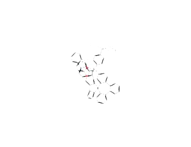 CC(C)c1ccc(N(c2ccc3c(c2)C2(c4ccccc4-c4ccccc4-3)c3ccccc3-c3cc4c(cc32)oc2ccccc24)c2cccc3c2oc2ccccc23)cc1